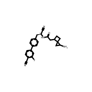 N#Cc1ccc(-c2ccc(C[C@@H](C#N)NC(=O)CC3CCC34CC4N)cc2)cc1F